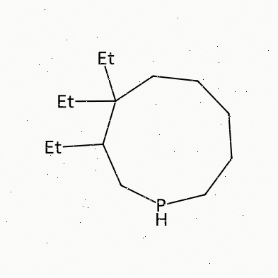 CCC1CPCCCCCC1(CC)CC